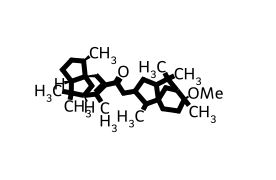 CO[C@]1(C)CCC23CC1C(C)(C)C2CC(CC(=O)C1=C(C)[C@@H]2C[C@@]4(C1)[C@H](C)CC[C@H]4C2(C)C)C3C